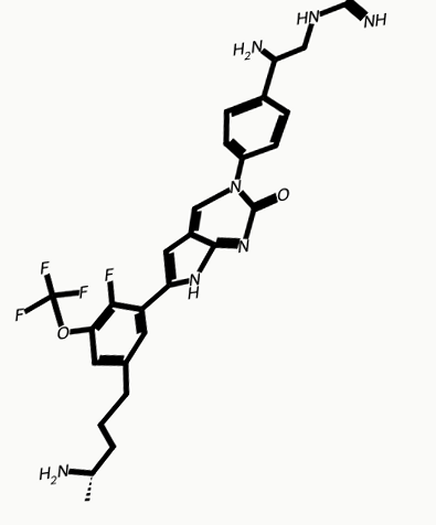 C[C@H](N)CCCc1cc(OC(F)(F)F)c(F)c(-c2cc3cn(-c4ccc(C(N)CNC(=N)N)cc4)c(=O)nc3[nH]2)c1